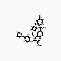 COc1nc2ccc(C(O)(c3ccc(Cl)cc3)c3cccn3C)cc2c(OC)c1Cc1ccc(-n2cccn2)cc1